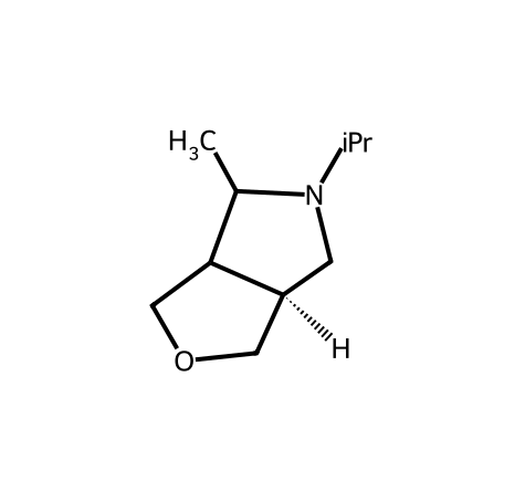 CC(C)N1C[C@H]2COCC2C1C